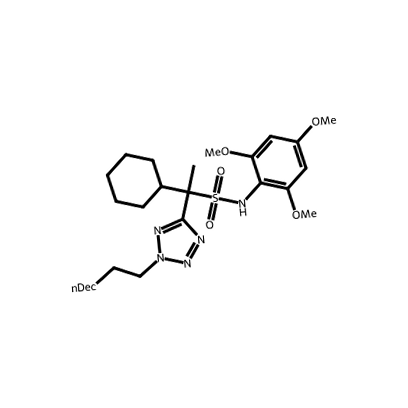 CCCCCCCCCCCCn1nnc(C(C)(C2CCCCC2)S(=O)(=O)Nc2c(OC)cc(OC)cc2OC)n1